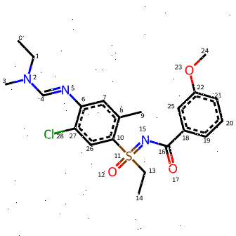 CCN(C)/C=N/c1cc(C)c(S(=O)(CC)=NC(=O)c2cccc(OC)c2)cc1Cl